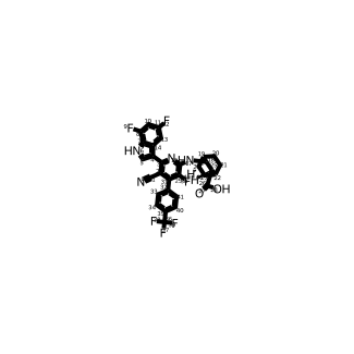 N#Cc1c(-c2c[nH]c3c(F)cc(F)cc23)nc(N[C@H]2C3CCC(CC3)[C@@H]2C(=O)O)c(F)c1-c1ccc(C(F)(F)F)cc1